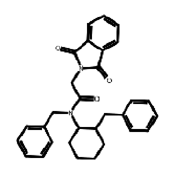 O=C1c2ccccc2C(=O)N1CC(=O)N(Cc1ccccc1)C1CCCCC1Cc1ccccc1